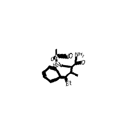 CCC(c1ccccc1)C(C)C(NS(C)(=O)=O)C(N)=O